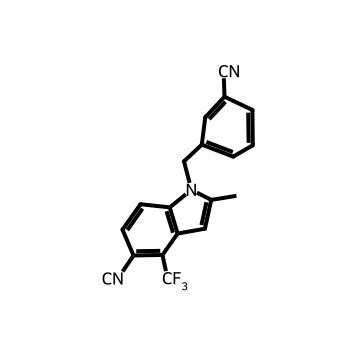 [C-]#[N+]c1ccc2c(cc(C)n2Cc2cccc(C#N)c2)c1C(F)(F)F